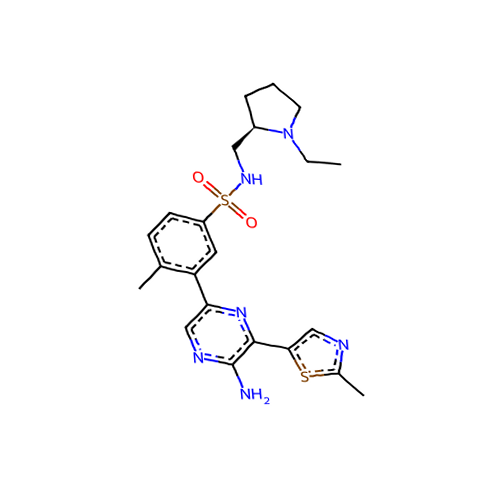 CCN1CCC[C@@H]1CNS(=O)(=O)c1ccc(C)c(-c2cnc(N)c(-c3cnc(C)s3)n2)c1